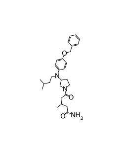 CC(C)CCN(c1ccc(OCc2ccccc2)cc1)C1CCN(C(=O)CC(C)CC(N)=O)C1